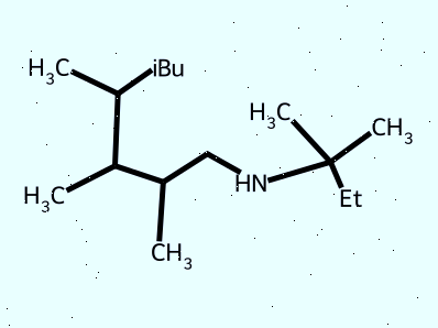 CCC(C)C(C)C(C)C(C)CNC(C)(C)CC